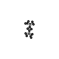 c1ccc([Si](c2ccccc2)(c2ccc(-c3nc(-n4c5ccccc5c5ccccc54)cc(-n4c5ccccc5n5c6ccccc6nc45)n3)cc2)c2ccc(-c3nc(-n4c5ccccc5c5ccccc54)cc(-n4c5ccccc5n5c6ccccc6nc45)n3)cc2)cc1